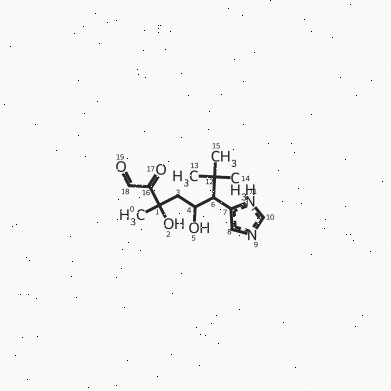 CC(O)(CC(O)C(c1cnc[nH]1)C(C)(C)C)C(=O)C=O